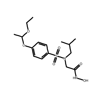 CCOC(C)Oc1ccc(S(=O)(=O)N(CC(=O)NO)CC(C)C)cc1